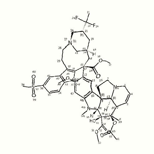 CC[C@]12C=CCN3CC[C@@]4(c5cc([C@@]6(C(=O)OC)C[C@@H]7C[C@@H](C(C)(F)F)C[N@](CCc8c6[nH]c6ccc(S(C)(=O)=O)cc86)C7)c(OC)cc5N(C)[C@H]4[C@@](O)(C(=O)OC)[C@@H]1OC(C)=O)[C@@H]32